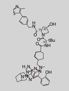 Cc1ncsc1-c1ccc(CNC(=O)[C@@H]2C[C@@H](O)CN2C(=O)[C@@H](NC(=O)C23CCC(CN(C)Cc4cnc(N5C6CCC5CN(c5cc(-c7ccccc7O)nnc5N)C6)nc4)(CC2)CC3)C(C)(C)C)cc1